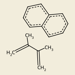 C=C(C)C(=C)C.c1ccc2ccccc2c1